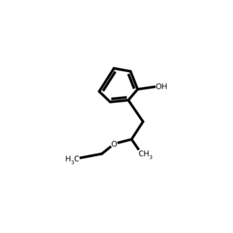 CCOC(C)Cc1ccccc1O